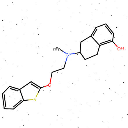 CCCN(CCOc1cc2ccccc2s1)C1CCc2c(O)cccc2C1